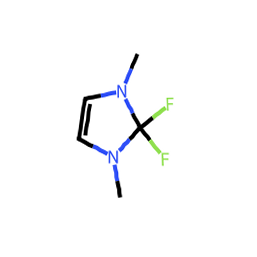 CN1C=CN(C)C1(F)F